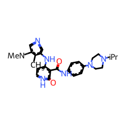 CNc1cncc(Nc2cc[nH]c(=O)c2C(=O)Nc2ccc(N3CCN(C(C)C)CC3)cc2)c1C